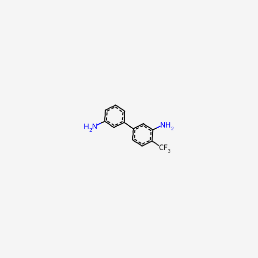 Nc1cccc(-c2ccc(C(F)(F)F)c(N)c2)c1